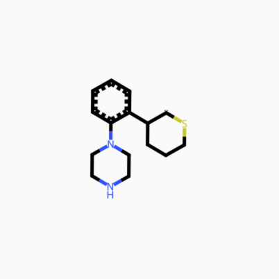 [C]1SCCCC1c1ccccc1N1CCNCC1